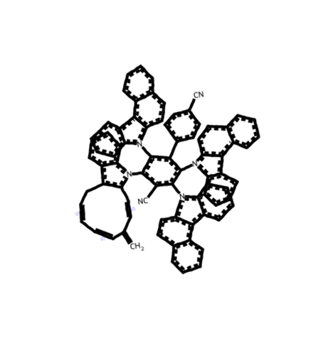 C=C1/C=C\C=C/Cc2c(n(-c3c(C#N)c(-n4c5ccccc5c5c6ccccc6ccc54)c(-n4c5ccccc5c5c6ccccc6ccc54)c(-c4ccc(C#N)cc4)c3-n3c4ccccc4c4c5ccccc5ccc43)c3ccccc23)/C=C\1